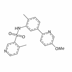 COc1ccc(-c2ccc(C)c(NS(=O)(=O)c3cnccc3C)c2)nc1